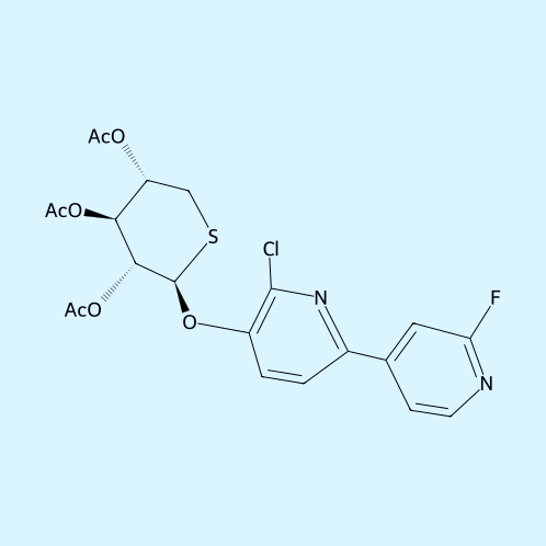 CC(=O)O[C@@H]1[C@@H](OC(C)=O)[C@H](OC(C)=O)CS[C@H]1Oc1ccc(-c2ccnc(F)c2)nc1Cl